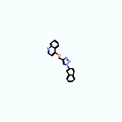 c1ccc2cc(-n3cc(COc4ccnc5ccccc45)nn3)ccc2c1